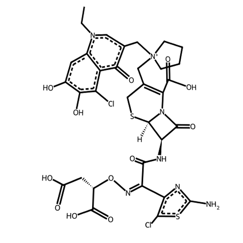 CCn1cc(C[N+]2(CC3=C(C(=O)O)N4C(=O)[C@@H](NC(=O)/C(=N\O[C@@H](CC(=O)O)C(=O)O)c5nc(N)sc5Cl)[C@H]4SC3)CCCC2)c(=O)c2c(Cl)c(O)c(O)cc21